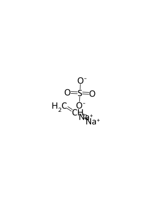 C=C.O=S(=O)([O-])[O-].[Na+].[Na+]